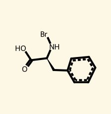 O=C(O)[C@H](Cc1ccccc1)NBr